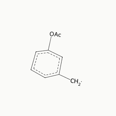 [CH2]c1cccc(OC(C)=O)c1